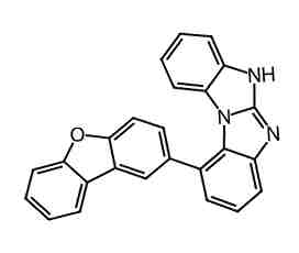 c1cc(-c2ccc3oc4ccccc4c3c2)c2c(c1)nc1[nH]c3ccccc3n12